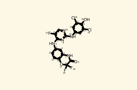 O=C1Nc2cc(Nc3nc(Nc4cc(Cl)c(O)c(Cl)c4)ncc3F)ccc2OC1(F)F